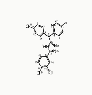 Cc1ccc(C(c2ccc(Cl)cc2)c2nnc(-c3ccc(Cl)c(Cl)c3)[nH]2)nc1